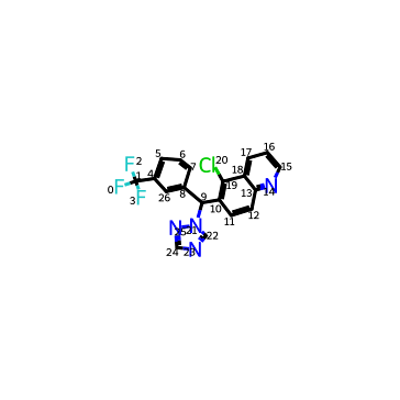 FC(F)(F)c1cccc(C(c2ccc3ncccc3c2Cl)n2cncn2)c1